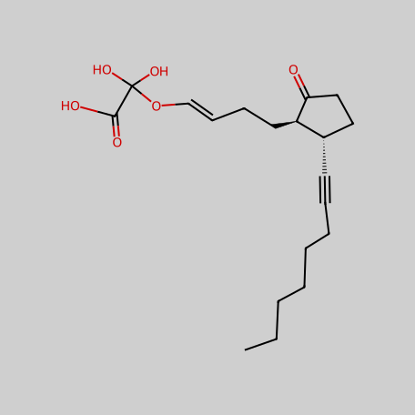 CCCCCCC#C[C@H]1CCC(=O)[C@@H]1CCC=COC(O)(O)C(=O)O